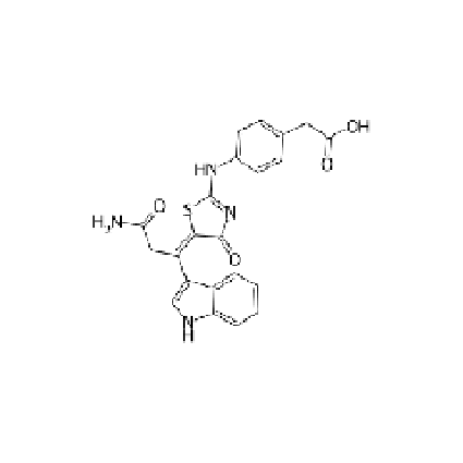 NC(=O)CC(=C1SC(Nc2ccc(CC(=O)O)cc2)=NC1=O)c1c[nH]c2ccccc12